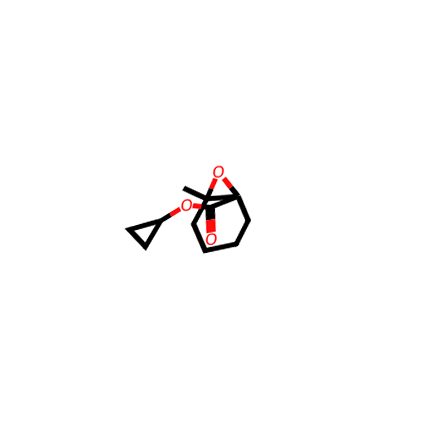 CC12CCCCC1(C(=O)OC1CC1)O2